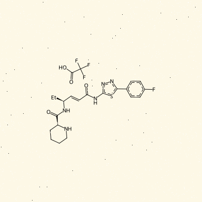 CC[C@@H](C=CC(=O)Nc1nnc(-c2ccc(F)cc2)s1)NC(=O)[C@@H]1CCCCN1.O=C(O)C(F)(F)F